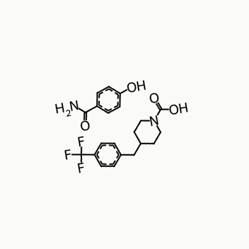 NC(=O)c1ccc(O)cc1.O=C(O)N1CCC(Cc2ccc(C(F)(F)F)cc2)CC1